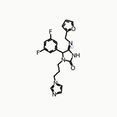 O=C1N/C(=N/Cc2ccco2)C(c2cc(F)cc(F)c2)N1CCCn1ccnc1